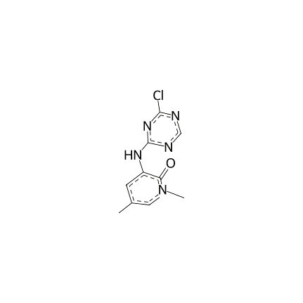 Cc1cc(Nc2ncnc(Cl)n2)c(=O)n(C)c1